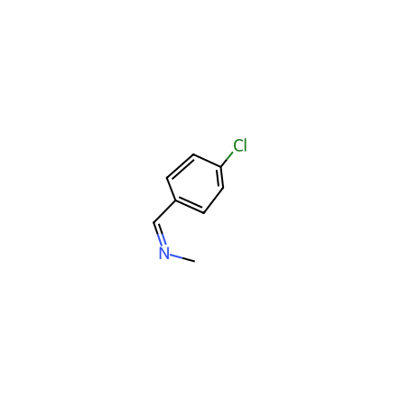 C/N=C\c1ccc(Cl)cc1